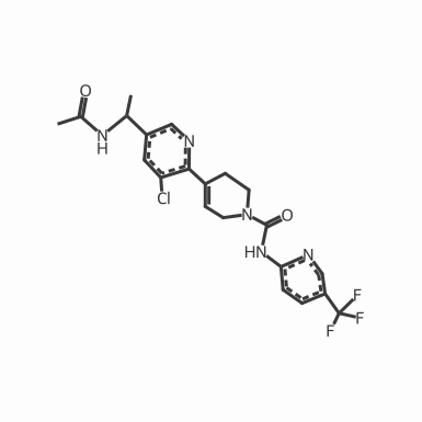 CC(=O)NC(C)c1cnc(C2=CCN(C(=O)Nc3ccc(C(F)(F)F)cn3)CC2)c(Cl)c1